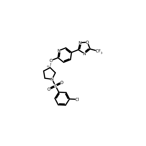 O=S(=O)(c1cccc(Cl)c1)N1CC[C@H](Oc2ccc(-c3noc(C(F)(F)F)n3)cn2)C1